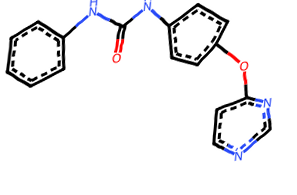 O=C(Nc1ccccc1)Nc1ccc(Oc2ccncn2)cc1